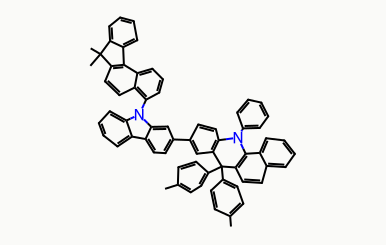 Cc1ccc(C2(c3ccc(C)cc3)c3cc(-c4ccc5c6ccccc6n(-c6cccc7c8c(ccc67)C(C)(C)c6ccccc6-8)c5c4)ccc3N(c3ccccc3)c3c2ccc2ccccc32)cc1